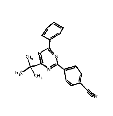 CC(C)(C)c1nc(-c2ccccc2)nc(-c2ccc(C#N)cc2)n1